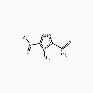 CC(=O)c1ncc([N+](=O)[O-])n1C